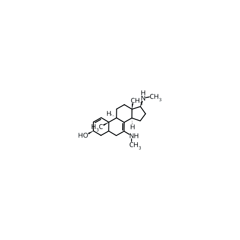 CNC1=C2[C@@H]3CC[C@H](NC)[C@@]3(C)CC[C@@H]2[C@@]2(C)C=C[C@H](O)CC2C1